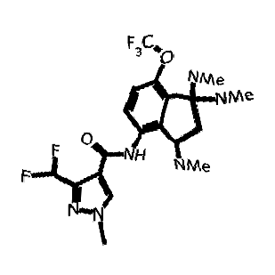 CNC1CC(NC)(NC)c2c(OC(F)(F)F)ccc(NC(=O)c3cn(C)nc3C(F)F)c21